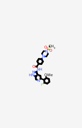 COc1cccc(F)c1-c1cc2c(NC(=O)c3ccc(N4CCN(S(C)(=O)=O)CC4)cc3)n[nH]c2cn1